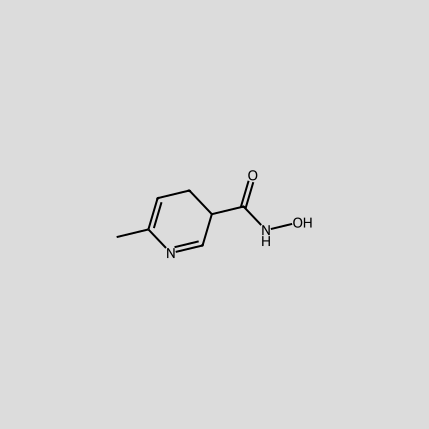 CC1=CCC(C(=O)NO)C=N1